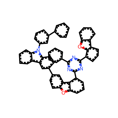 c1ccc(-c2cccc(-n3c4ccccc4c4cc(-c5ccc6oc7cccc(-c8nc(-c9ccccc9)nc(-c9cccc%10c9oc9ccccc9%10)n8)c7c6c5)ccc43)c2)cc1